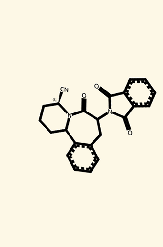 N#C[C@@H]1CCCC2c3ccccc3CC(N3C(=O)c4ccccc4C3=O)C(=O)N21